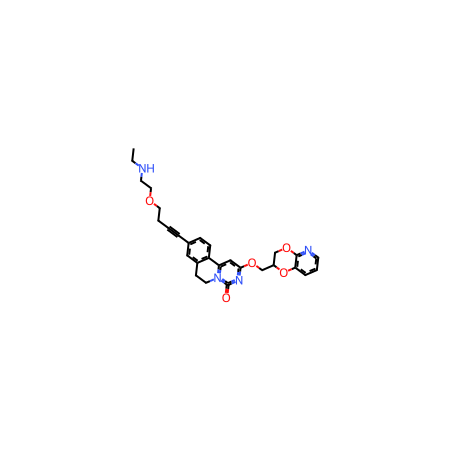 CCNCCOCCC#Cc1ccc2c(c1)CCn1c-2cc(OCC2COc3ncccc3O2)nc1=O